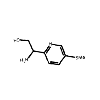 CSc1ccc(C(N)CO)nc1